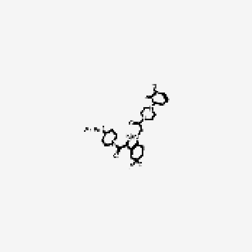 CC(=O)NC1CCN(C(=O)c2nn(CC(=O)N3CCN(c4cccc(Cl)c4C)CC3)c3c2CC(F)(F)CC3)CC1